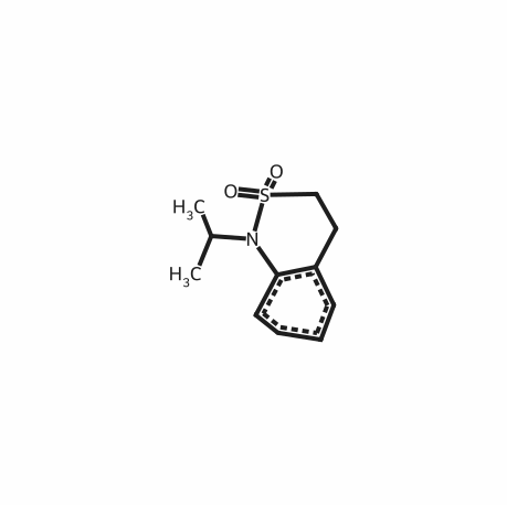 CC(C)N1c2ccccc2CCS1(=O)=O